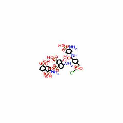 Nc1cc(NC(=O)c2ccc(CS(=O)(=O)CCCl)cc2)ccc1S(=O)(=O)O.Nc1ccc(S(=O)(=O)O)c2cc(S(=O)(=O)O)cc(O)c12.Nc1ccc2c(S(=O)(=O)O)cccc2c1S(=O)(=O)O